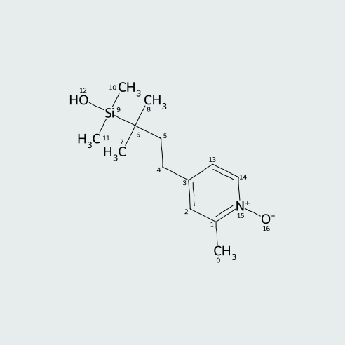 Cc1cc(CCC(C)(C)[Si](C)(C)O)cc[n+]1[O-]